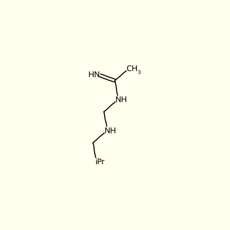 CC(=N)NCNCC(C)C